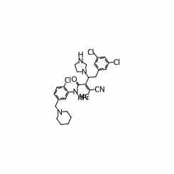 CCCN(C(=O)C(=C(C#N)C#N)C(Cc1cc(Cl)cc(Cl)c1)N1CCNC1)c1cc(CN2CCCCC2)ccc1Cl